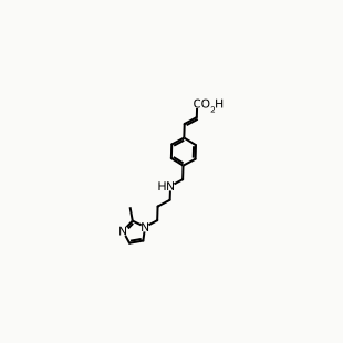 Cc1nccn1CCCNCc1ccc(C=CC(=O)O)cc1